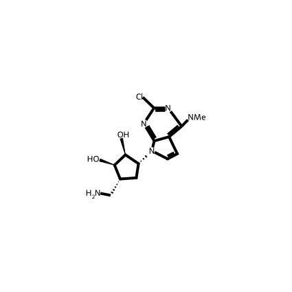 CNc1nc(Cl)nc2c1ccn2[C@@H]1C[C@H](CN)[C@@H](O)[C@H]1O